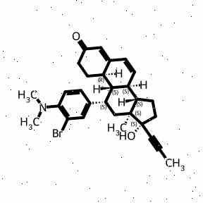 CC#C[C@]1(O)CC[C@H]2[C@@H]3C=CC4=CC(=O)CC[C@@H]4[C@H]3[C@@H](c3ccc(N(C)C)c(Br)c3)C[C@@]21C